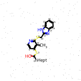 CCCCCCCC(O)Sc1ccnc(SCc2nc3ccccc3[nH]2)c1C